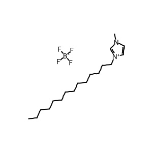 CCCCCCCCCCCCCC[n+]1ccn(C)c1.F[B-](F)(F)F